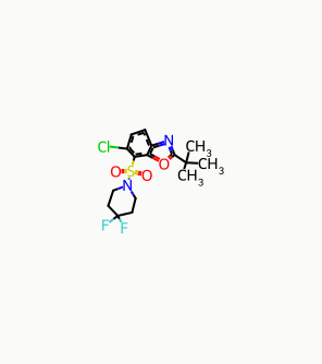 CC(C)(C)c1nc2ccc(Cl)c(S(=O)(=O)N3CCC(F)(F)CC3)c2o1